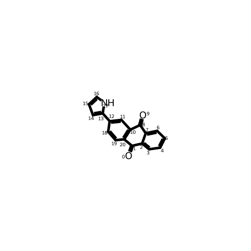 O=C1c2ccccc2C(=O)c2cc(-c3ccc[nH]3)ccc21